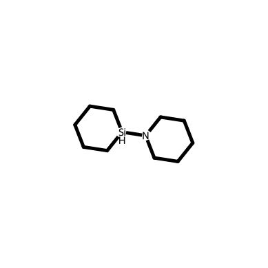 C1CCN([SiH]2CCCCC2)CC1